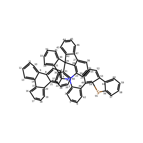 c1ccc(N(c2ccc3c4ccccc4c4ccccc4c3c2)c2cccc3c2C2(c4ccccc4-c4ccccc42)c2ccccc2-3)c(-c2cccc3c2sc2ccccc23)c1